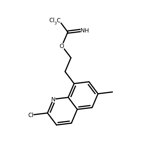 Cc1cc(CCOC(=N)C(Cl)(Cl)Cl)c2nc(Cl)ccc2c1